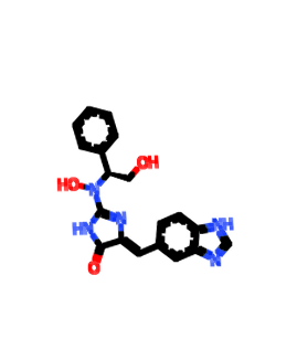 O=C1NC(N(O)[C@H](CO)c2ccccc2)=N/C1=C\c1ccc2[nH]cnc2c1